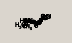 CC1(C)CCc2c(-c3cc4cc(C(=O)N5CCc6cc(C7CCC(=O)NC7=O)ccc6C5)ccc4[nH]3)n[nH]c2C1